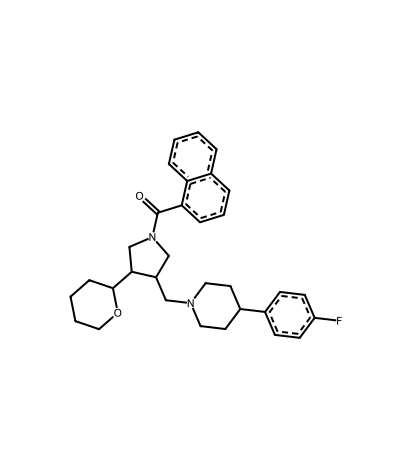 O=C(c1cccc2ccccc12)N1CC(CN2CCC(c3ccc(F)cc3)CC2)C(C2CCCCO2)C1